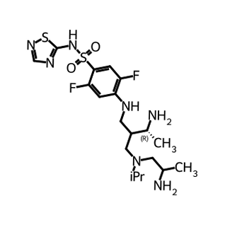 CC(N)CN(CC(CNc1cc(F)c(S(=O)(=O)Nc2ncns2)cc1F)[C@@H](C)N)C(C)C